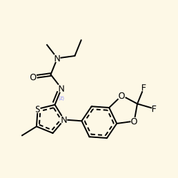 CCN(C)C(=O)/N=c1\sc(C)cn1-c1ccc2c(c1)OC(F)(F)O2